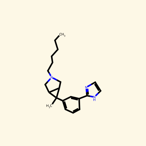 CCCCCCN1CC2C(C1)C2(C)c1cccc(-c2ncc[nH]2)c1